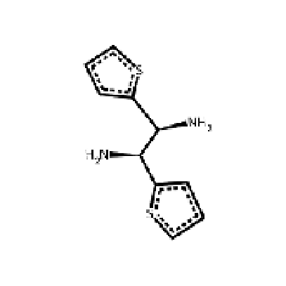 N[C@H](c1cccs1)[C@H](N)c1cccs1